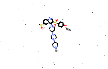 CCN1CCC(N2CCN(C3CCN(c4c(S(=O)(=O)c5ccc(OC(C)(C)C)cc5)cnc5ccc([S+](C)[O-])cc45)CC3)CC2)CC1